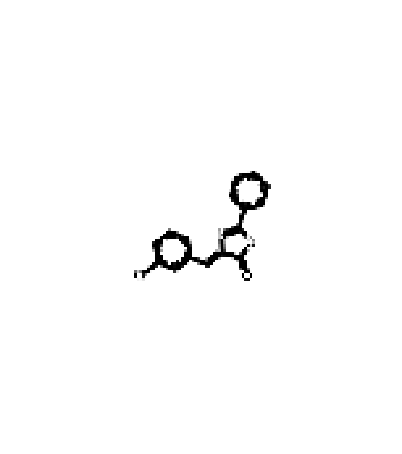 O=C1OC(c2ccccc2)=NC1=Cc1cccc(Cl)c1